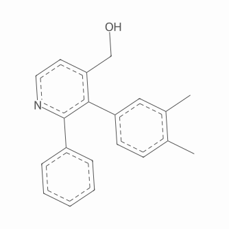 Cc1ccc(-c2c(CO)ccnc2-c2ccccc2)cc1C